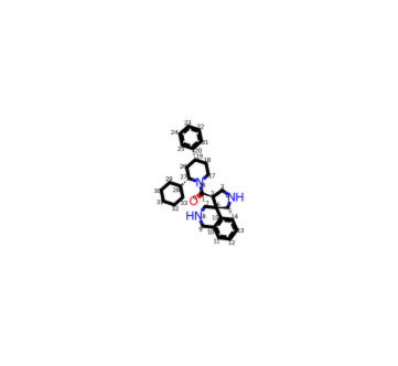 O=C([C@H]1CNC[C@@]12CNCc1ccccc12)N1CC[C@@H](c2ccccc2)C[C@H]1C1CCCCC1